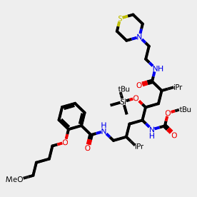 COCCCCOc1ccccc1C(=O)NCC(CC(NC(=O)OC(C)(C)C)C(CC(C(=O)NCCN1CCSCC1)C(C)C)O[Si](C)(C)C(C)(C)C)C(C)C